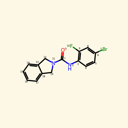 O=C(Nc1ccc(Br)cc1F)N1Cc2ccccc2C1